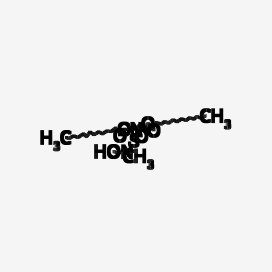 CCCCCCCCCCCCCC(=O)OCCN(CCOC(=O)CCCCCCCCCCCCC)C(=O)CSCCN(C)CCO